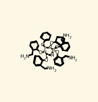 NCc1ccccc1ON1P(Oc2ccccc2CN)N=P(Oc2ccccc2CN)(Oc2ccccc2CN)N(Oc2ccccc2)P1Oc1ccccc1